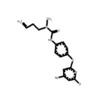 C=CCCN(C)C(=O)Nc1ccc(Sc2cc(C#N)cc(Cl)n2)cc1